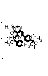 C[C@H](Nc1nc(-c2ccc(C(C)(C)O)nc2)cc2ncn(C)c(=O)c12)c1ccccc1